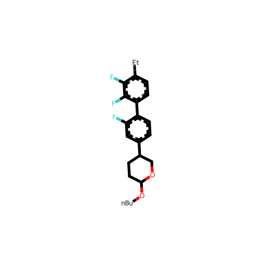 CCCCOC1CCC(c2ccc(-c3ccc(CC)c(F)c3F)c(F)c2)CO1